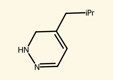 CC(C)CC1=CC=NNC1